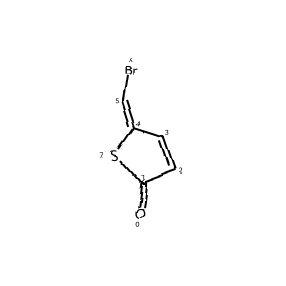 O=C1C=CC(=CBr)S1